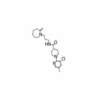 C=C1CCCCCN1CCCNC(=O)C1CCN(c2ncc(C)cc2Cl)CC1